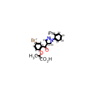 CC(Oc1ccc(Br)cc1C(=O)C1C=NN(c2ccccc2C(C)C)C1)C(=O)O